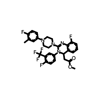 COC(=O)CC1c2cccc(F)c2N=C(N2CCN(c3ccc(F)c(C)c3)CC2)N1c1ccc(F)c(C(F)(F)F)c1